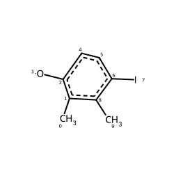 Cc1c([O])ccc(I)c1C